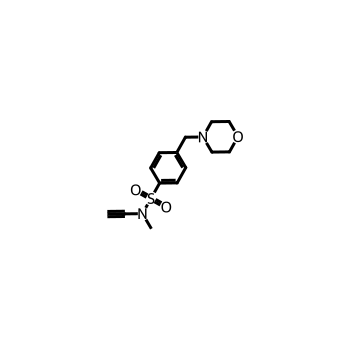 C#CN(C)S(=O)(=O)c1ccc(CN2CCOCC2)cc1